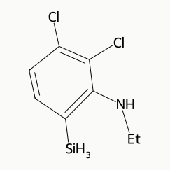 CCNc1c([SiH3])ccc(Cl)c1Cl